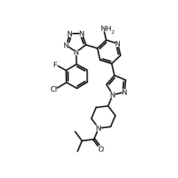 CC(C)C(=O)N1CCC(n2cc(-c3cnc(N)c(-c4nnnn4-c4cccc(Cl)c4F)c3)cn2)CC1